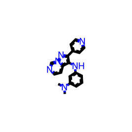 CN(C)c1cccc(Nc2c(-c3ccncc3)nn3cnccc23)c1